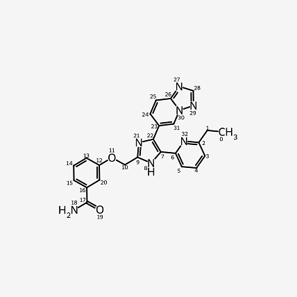 CCc1cccc(-c2[nH]c(COc3cccc(C(N)=O)c3)nc2-c2ccc3ncnn3c2)n1